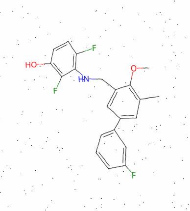 COc1c(C)cc(-c2cccc(F)c2)cc1CNc1c(F)ccc(O)c1F